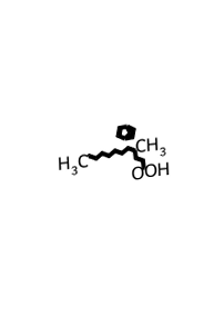 C1=CC2CCC1C2.CCCCCCCCC(C)CCC(=O)O